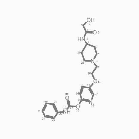 O=C(CO)NC1CCN(CCOc2ccc(OC(=O)Nc3ccccc3)nc2)CC1